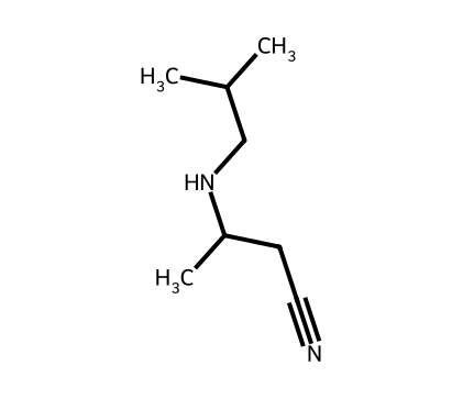 CC(C)CNC(C)CC#N